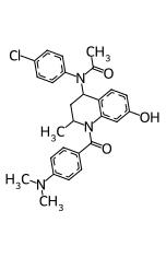 CC(=O)N(c1ccc(Cl)cc1)C1CC(C)N(C(=O)c2ccc(N(C)C)cc2)c2cc(O)ccc21